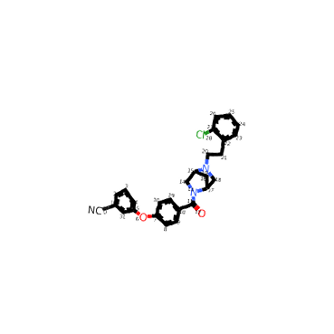 N#Cc1cccc(Oc2ccc(C(=O)N3CC4CC3CN4CCc3ccccc3Cl)cc2)c1